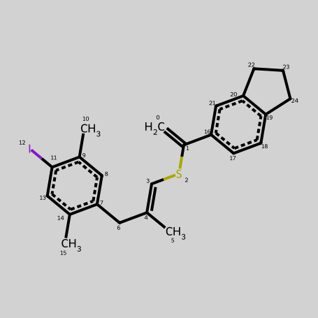 C=C(S/C=C(\C)Cc1cc(C)c(I)cc1C)c1ccc2c(c1)CCC2